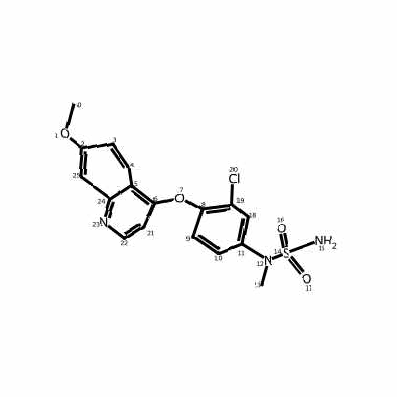 COc1ccc2c(Oc3ccc(N(C)S(N)(=O)=O)cc3Cl)ccnc2c1